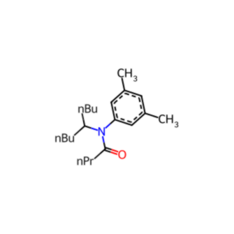 CCCCC(CCCC)N(C(=O)CCC)c1cc(C)cc(C)c1